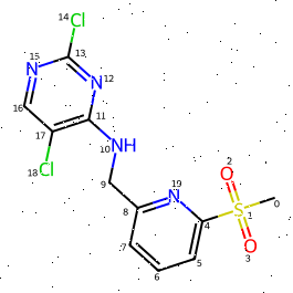 CS(=O)(=O)c1cccc(CNc2nc(Cl)ncc2Cl)n1